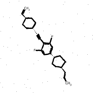 C=C[C@H]1CC[C@H](C#Cc2c(F)cc([C@H]3CC[C@H](CCC)CC3)cc2F)CC1